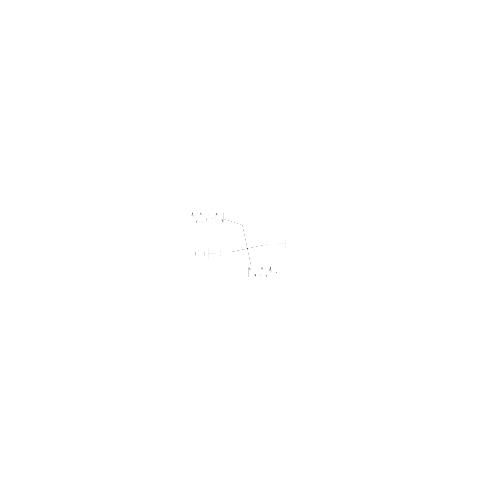 CNCC(C=O)(C=O)NC